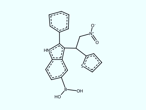 O=[N+]([O-])CC(c1cccs1)c1c(-c2ccccc2)[nH]c2ccc(B(O)O)cc12